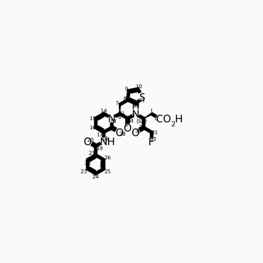 O=C(O)C[C@H](NC(=O)[C@H](Cc1ccsc1)n1cccc(NC(=O)c2ccccc2)c1=O)C(=O)CF